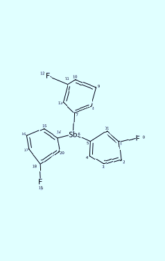 Fc1ccc[c]([Sb]([c]2cccc(F)c2)[c]2cccc(F)c2)c1